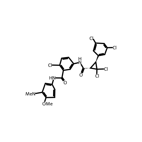 CNc1cc(NC(=O)c2cc(NC(=O)[C@@H]3[C@@H](c4cc(Cl)cc(Cl)c4)C3(Cl)Cl)ccc2Cl)ccc1OC